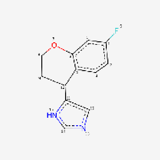 Fc1ccc2c(c1)OCCC2c1cnc[nH]1